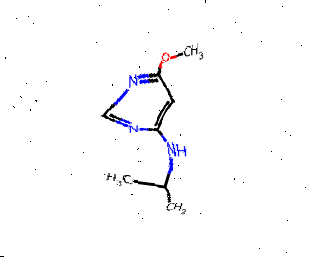 COc1cc(NC(C)C)ncn1